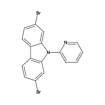 Brc1ccc2c3ccc(Br)cc3n(-c3ccccn3)c2c1